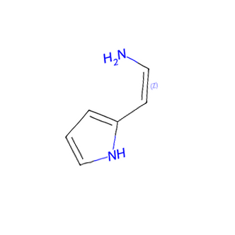 N/C=C\c1ccc[nH]1